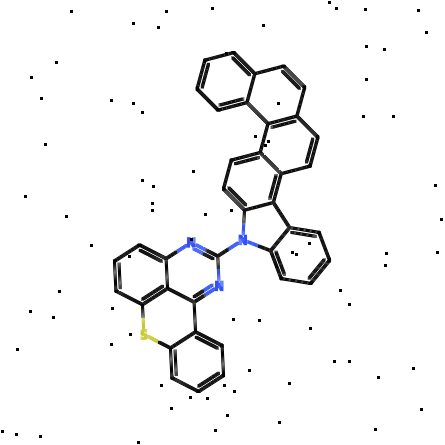 c1ccc2c(c1)Sc1cccc3nc(-n4c5ccccc5c5c6ccc7ccc8ccccc8c7c6ccc54)nc-2c13